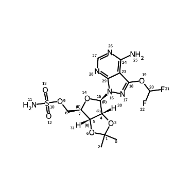 CC1(C)O[C@@H]2[C@H](O1)[C@@H](COS(N)(=O)=O)O[C@H]2n1nc(OC(F)F)c2c(N)ncnc21